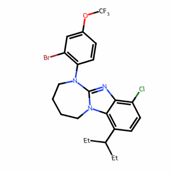 CCC(CC)c1ccc(Cl)c2nc3n(c12)CCCCN3c1ccc(OC(F)(F)F)cc1Br